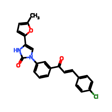 Cc1ccc(-c2cn(-c3cccc(C(=O)C=Cc4ccc(Cl)cc4)c3)c(=O)[nH]2)o1